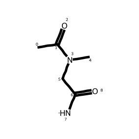 CC(=O)N(C)CC([NH])=O